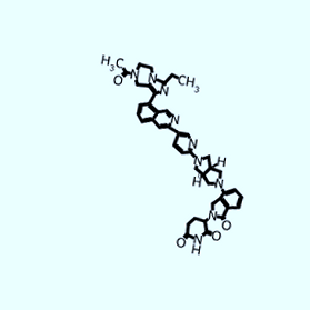 CCc1nc(-c2cccc3cc(-c4ccc(N5C[C@@H]6CN(c7cccc8c7CN(C7CCC(=O)NC7=O)C8=O)C[C@@H]6C5)nc4)ncc23)c2n1CCN(C(C)=O)C2